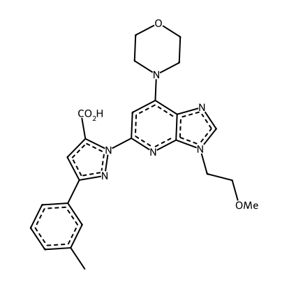 COCCn1cnc2c(N3CCOCC3)cc(-n3nc(-c4cccc(C)c4)cc3C(=O)O)nc21